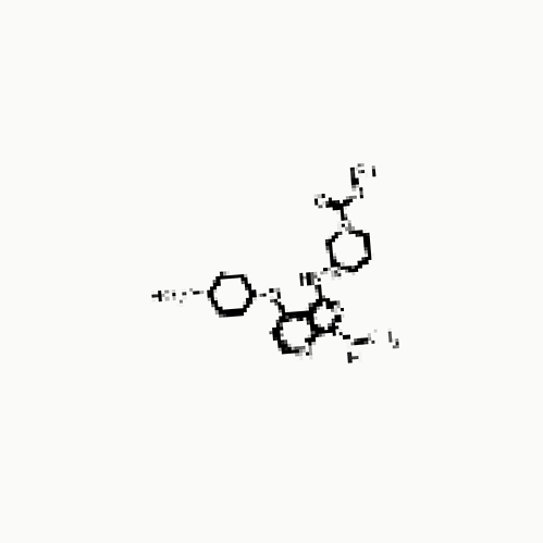 CPn1nc(N[C@@H]2CCCN(C(=O)OC(C)(C)C)C2)c2c(O[C@H]3CC[C@H](C(=O)O)CC3)ccnc21